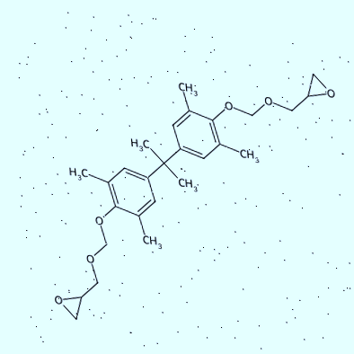 Cc1cc(C(C)(C)c2cc(C)c(OCOCC3CO3)c(C)c2)cc(C)c1OCOCC1CO1